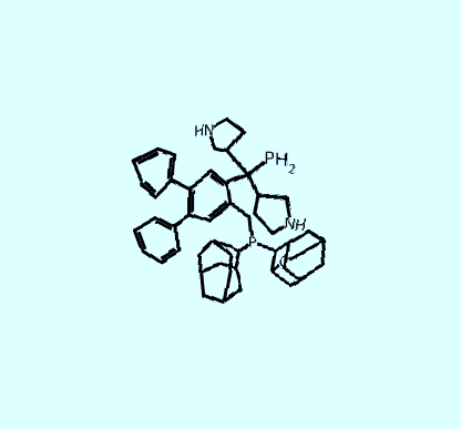 PC(c1cc(-c2ccccc2)c(-c2ccccc2)cc1CP(C1C2CC3CC(C2)CC1C3)C1C2CC3CC(C2)CC1C3)(C1CCNC1)C1CCNC1